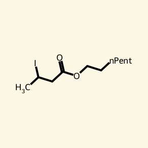 CCCCCCCOC(=O)CC(C)I